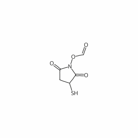 O=CON1C(=O)CC(S)C1=O